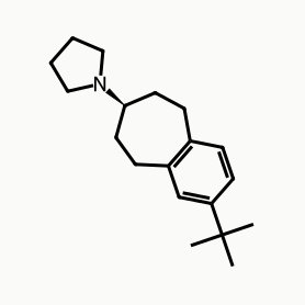 CC(C)(C)c1ccc2c(c1)CC[C@@H](N1CCCC1)CC2